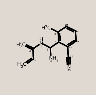 C=CC(=C)NC(N)c1c(C)cccc1C#N